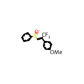 COc1ccc(C(=C[S+]([O-])c2ccccc2)C(F)(F)F)cc1